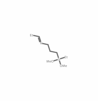 CCC=NCCC[Si](CC)(OC)OC